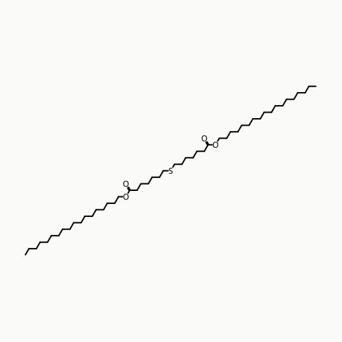 CCCCCCCCCCCCCCCCCCOC(=O)CCCCCCSCCCCCCC(=O)OCCCCCCCCCCCCCCCCCC